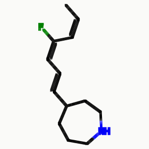 C\C=C/C(F)=C\C=C\C1CCCNCC1